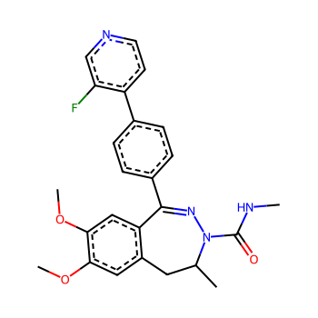 CNC(=O)N1N=C(c2ccc(-c3ccncc3F)cc2)c2cc(OC)c(OC)cc2CC1C